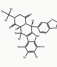 [2H]c1c([2H])c([2H])c2c3c([nH]c2c1[2H])[C@@]([2H])(c1ccc2c(c1)OCO2)N1C(=O)CN(C([2H])([2H])[2H])C(=O)[C@H]1C3([2H])[2H]